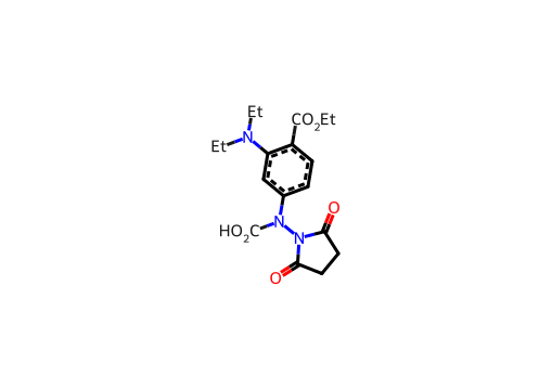 CCOC(=O)c1ccc(N(C(=O)O)N2C(=O)CCC2=O)cc1N(CC)CC